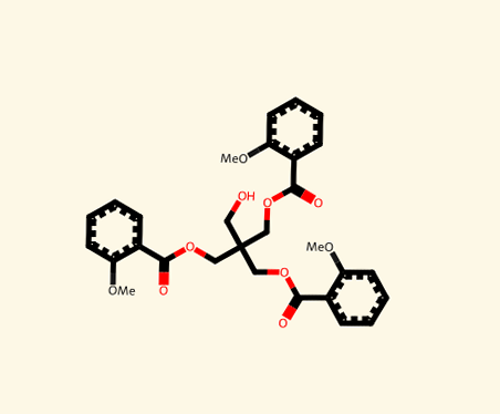 COc1ccccc1C(=O)OCC(CO)(COC(=O)c1ccccc1OC)COC(=O)c1ccccc1OC